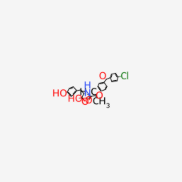 CC(C)(Oc1ccc(C(=O)c2ccc(Cl)cc2)cc1)C(=O)NC(Cc1ccc(O)cc1)C(=O)O